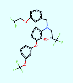 O[C@H](CN(Cc1cccc(OCC(F)F)c1)c1cccc(Oc2cccc(OC(F)(F)F)c2)c1)C(F)(F)F